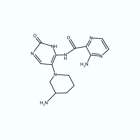 Nc1nccnc1C(=O)Nc1[nH]c(=O)ncc1N1CCCC(N)C1